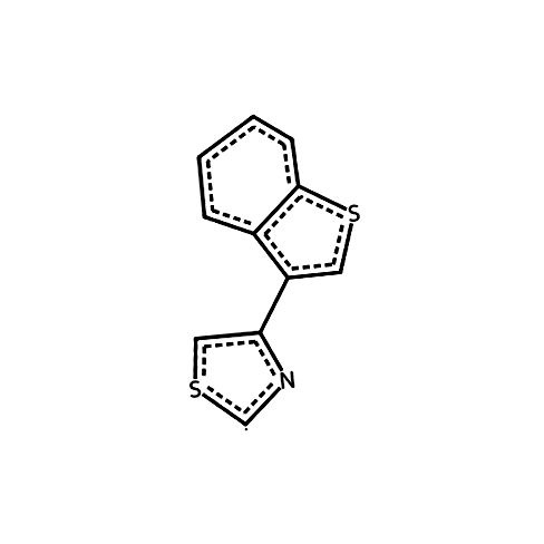 [c]1nc(-c2csc3ccccc23)cs1